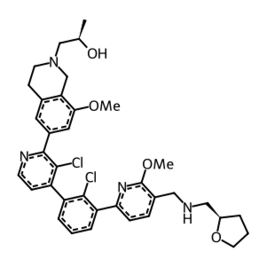 COc1cc(-c2nccc(-c3cccc(-c4ccc(CNC[C@H]5CCCO5)c(OC)n4)c3Cl)c2Cl)cc2c1CN(C[C@@H](C)O)CC2